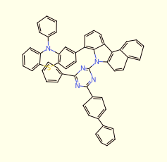 c1ccc(-c2ccc(-c3nc(-c4ccccc4)nc(-n4c5ccc6ccccc6c5c5cccc(-c6ccc7c(c6)N(c6ccccc6)c6ccccc6S7)c54)n3)cc2)cc1